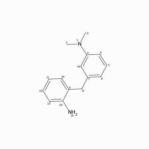 CN(C)c1[c]ccc(Cc2ccccc2N)c1